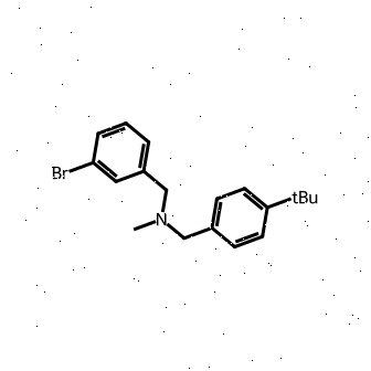 CN(Cc1ccc(C(C)(C)C)cc1)Cc1cccc(Br)c1